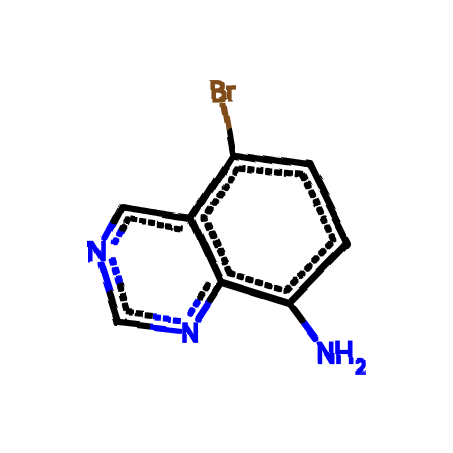 Nc1ccc(Br)c2cncnc12